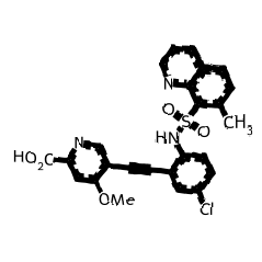 COc1cc(C(=O)O)ncc1C#Cc1cc(Cl)ccc1NS(=O)(=O)c1c(C)ccc2cccnc12